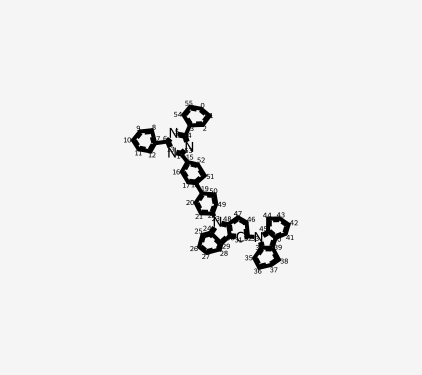 c1ccc(-c2nc(-c3ccccc3)nc(-c3ccc(-c4ccc(-n5c6ccccc6c6cc(-n7c8ccccc8c8ccccc87)ccc65)cc4)cc3)n2)cc1